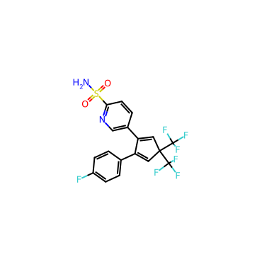 NS(=O)(=O)c1ccc(C2=CC(C(F)(F)F)(C(F)(F)F)C=C2c2ccc(F)cc2)cn1